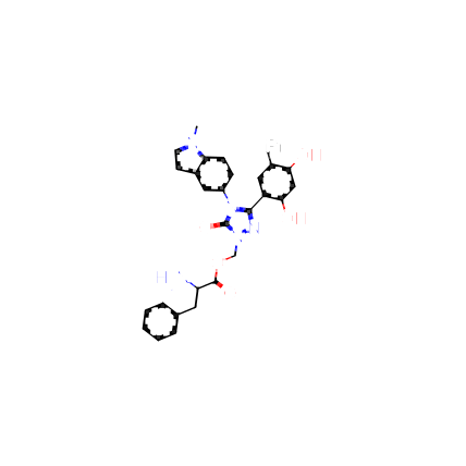 CC(C)c1cc(-c2nn(COC(=O)C(N)Cc3ccccc3)c(=O)n2-c2ccc3c(ccn3C)c2)c(O)cc1O